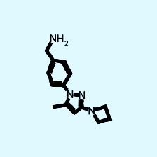 Cc1cc(N2CCC2)nn1-c1ccc(CN)cc1